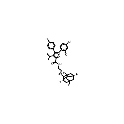 CC(C)c1c(C(=O)NCCNC2[C@H]3C[C@@H]4C[C@@H](C[C@H]2C4)C3)nn(-c2ccc(Cl)cc2Cl)c1-c1ccc(Cl)cc1